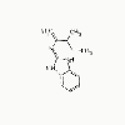 C=C(N=c1[nH]c2ccccc2[nH]1)C(C)CC